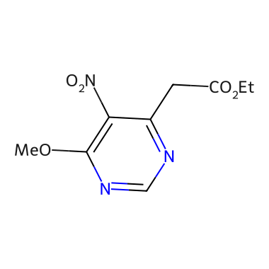 CCOC(=O)Cc1ncnc(OC)c1[N+](=O)[O-]